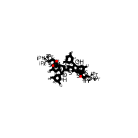 Cc1cc(C)cc(C(O)(c2cc(C)cc(C)c2)c2c(-c3cc4sc([Si](C(C)C)(C(C)C)C(C)C)cc4s3)sc3c(C(O)(c4cc(C)cc(C)c4)c4cc(C)cc(C)c4)c(-c4cc5sc([Si](C(C)C)(C(C)C)C(C)C)cc5s4)sc23)c1